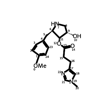 COc1ccc(C[C@H]2NC[C@H](O)[C@H]2OC(=O)CCc2cn(C)cn2)cc1